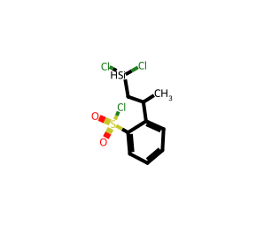 CC(C[SiH](Cl)Cl)c1ccccc1S(=O)(=O)Cl